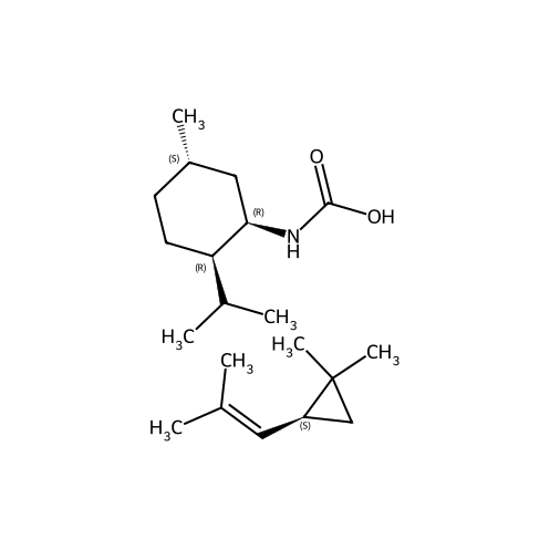 CC(C)=C[C@@H]1CC1(C)C.CC(C)[C@H]1CC[C@H](C)C[C@H]1NC(=O)O